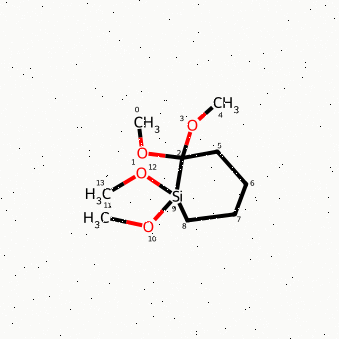 COC1(OC)CCCC[Si]1(OC)OC